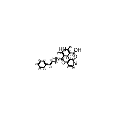 CC1=C(C(=O)O)C(c2cccnc2)C(C(=O)NC/C=C/c2ccccc2)=C(C)N1